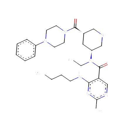 COCCCNc1nc(C(C)(C)C)ncc1C(=O)N(CC(C)C)[C@@H]1CNC[C@H](C(=O)N2CCN(c3ccccc3)CC2)C1